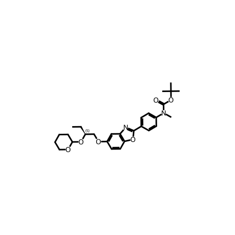 CC[C@@H](COc1ccc2oc(-c3ccc(N(C)C(=O)OC(C)(C)C)cc3)nc2c1)OC1CCCCO1